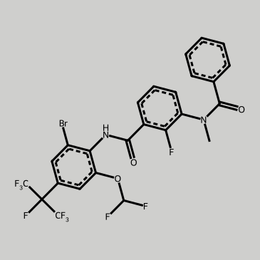 CN(C(=O)c1ccccc1)c1cccc(C(=O)Nc2c(Br)cc(C(F)(C(F)(F)F)C(F)(F)F)cc2OC(F)F)c1F